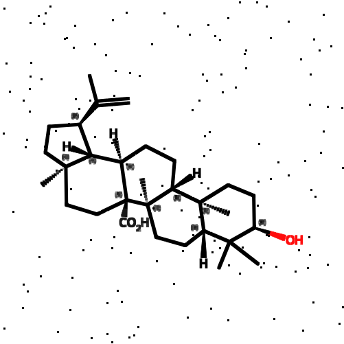 C=C(C)[C@@H]1CC[C@]2(C)CC[C@]3(C(=O)O)[C@H](CC[C@@H]4[C@@]5(C)CC[C@@H](O)C(C)(C)[C@@H]5CC[C@]43C)[C@@H]12